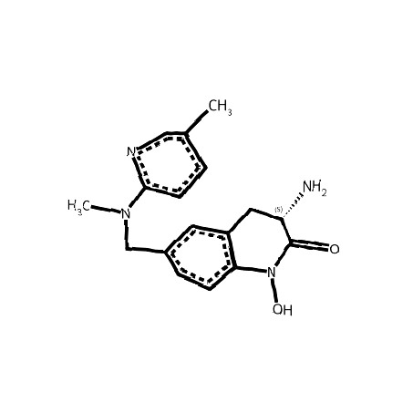 Cc1ccc(N(C)Cc2ccc3c(c2)C[C@H](N)C(=O)N3O)nc1